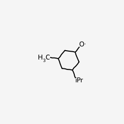 CC1CC([O])CC(C(C)C)C1